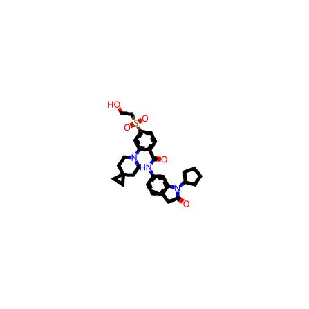 O=C(Nc1ccc2c(c1)N(C1CCCC1)C(=O)C2)c1ccc(S(=O)(=O)CCO)cc1N1CCC2(CC1)CC2